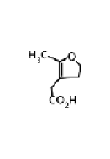 CC1=C(CC(=O)O)CCO1